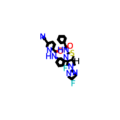 N#Cc1ccc(C(=O)Nc2ccc(F)c(C34CN(c5ncc(F)cn5)C[C@H]3CSC(NC(=O)c3ccccc3)=N4)c2)nc1